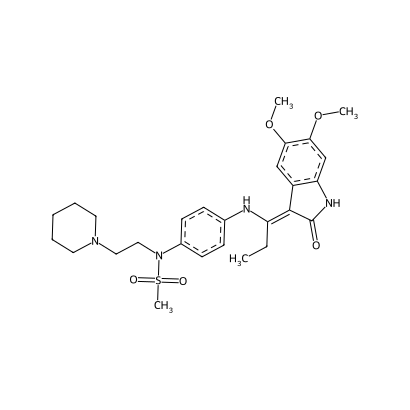 CCC(Nc1ccc(N(CCN2CCCCC2)S(C)(=O)=O)cc1)=C1C(=O)Nc2cc(OC)c(OC)cc21